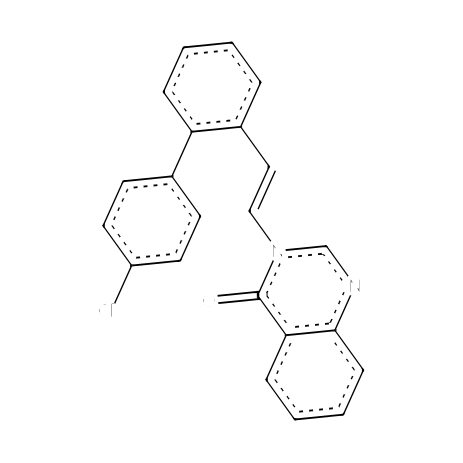 O=c1c2ccccc2ncn1C=Cc1ccccc1-c1ccc(Cl)cc1